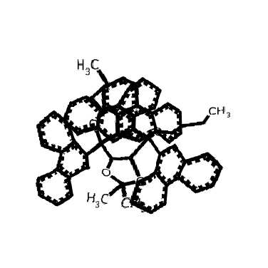 CCCCOC(c1cc2ccccc2c2ccccc12)(c1cc2ccccc2c2ccccc12)C1OC(C)(C)OC1C(OCCCC)(c1cc2ccccc2c2ccccc12)c1cc2ccccc2c2ccccc12